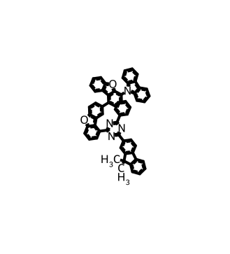 CC1(C)c2ccccc2-c2ccc(-c3nc(-c4ccccc4)nc(-c4cccc5oc6ccc(-c7ccc(-n8c9ccccc9c9ccccc98)c8oc9ccccc9c78)cc6c45)n3)cc21